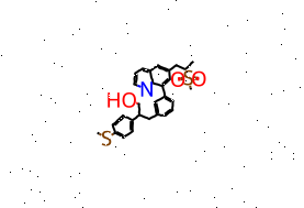 CSc1ccc(C(CO)Cc2cccc(-c3cc(CC(C)S(C)(=O)=O)cc4cccnc34)c2)cc1